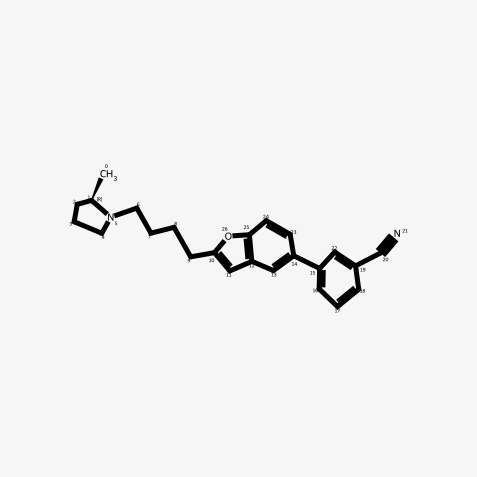 C[C@@H]1CCCN1CCCCc1cc2cc(-c3cccc(C#N)c3)ccc2o1